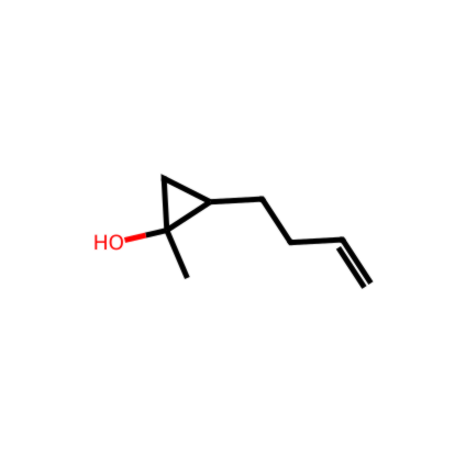 C=CCCC1CC1(C)O